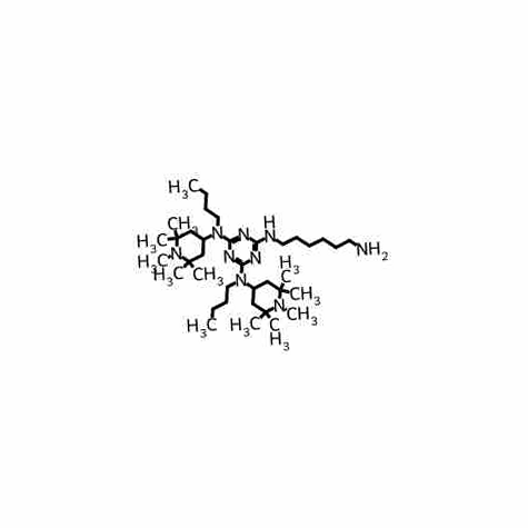 CCCCN(c1nc(NCCCCCCN)nc(N(CCCC)C2CC(C)(C)N(C)C(C)(C)C2)n1)C1CC(C)(C)N(C)C(C)(C)C1